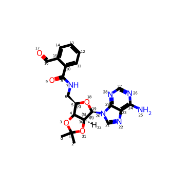 CC1(C)OC2[C@@H](CNC(=O)c3ccccc3C=O)O[C@@H](n3cnc4c(N)ncnc43)[C@H]2O1